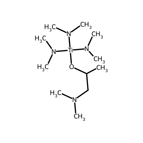 CC(CN(C)C)[O][Ti]([N](C)C)([N](C)C)[N](C)C